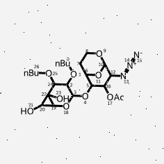 CCCCOC1C(OC2C3CCOC(O3)C(N=[N+]=[N-])C2OC(C)=O)OC2C(O)C2(O)C1OCCCC